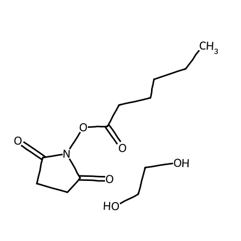 CCCCCC(=O)ON1C(=O)CCC1=O.OCCO